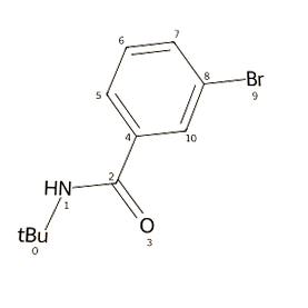 CC(C)(C)NC(=O)c1cccc(Br)c1